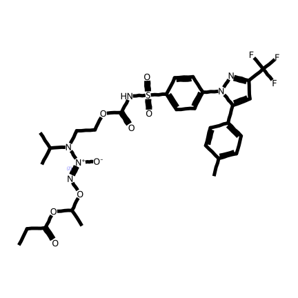 CCC(=O)OC(C)O/N=[N+](\[O-])N(CCOC(=O)NS(=O)(=O)c1ccc(-n2nc(C(F)(F)F)cc2-c2ccc(C)cc2)cc1)C(C)C